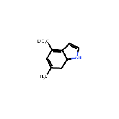 CCOC(=O)C1=C2C=CNC2CC(C)=C1